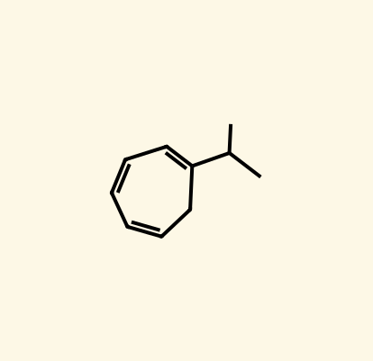 CC(C)C1=CC=CC=CC1